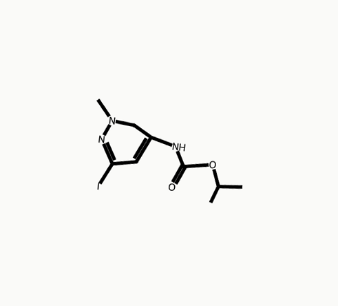 CC(C)OC(=O)NC1=CC(I)=NN(C)C1